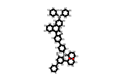 Fc1cc(-c2ccccc2)cc(-c2ccccc2)c1N(c1ccccc1)c1ccc(-c2ccc3c(c2)sc2c4ccc(N(c5ccccc5)c5ccccc5)cc4c4ccccc4c32)cc1